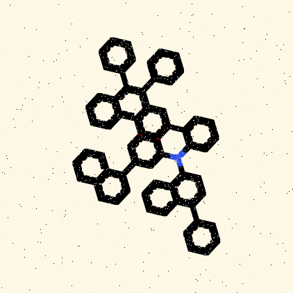 c1ccc(-c2ccc(N(c3cccc(-c4cccc5ccccc45)c3)c3ccccc3-c3ccc4c(c3)c(-c3ccccc3)c(-c3ccccc3)c3ccccc34)c3ccccc23)cc1